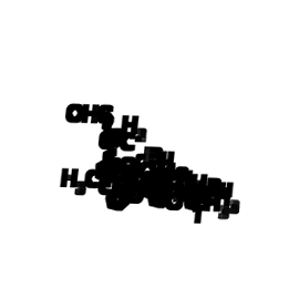 C=C1C[C@H](CCC=O)O[C@H]1CCC1C[C@@H](C)C(=C)[C@@H](C[C@@H]2O[C@H](C[C@H](C)CC)[C@H](OC)[C@H]2C(C(O)CC2CCC3O[C@@H]([C@H](/C=C/I)O[Si](C)(C)C(C)(C)C)[C@@H](C)[C@@H](C)C3O2)S(=O)(=O)c2ccccc2)O1